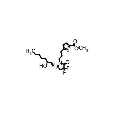 CCCCCC(O)/C=C/[C@H]1CC(F)(F)C(=O)N1CCCc1ccc(C(=O)OC)s1